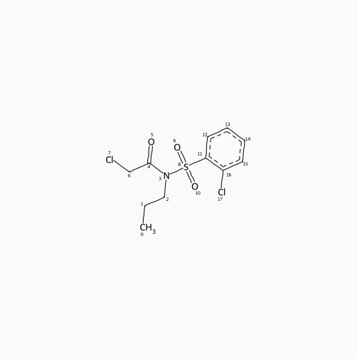 CCCN(C(=O)CCl)S(=O)(=O)c1ccccc1Cl